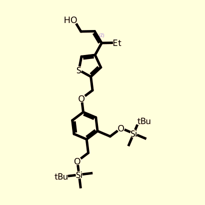 CC/C(=C/CO)c1csc(COc2ccc(CO[Si](C)(C)C(C)(C)C)c(CO[Si](C)(C)C(C)(C)C)c2)c1